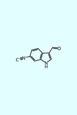 [C-]#[N+]c1ccc2c(C=O)c[nH]c2c1